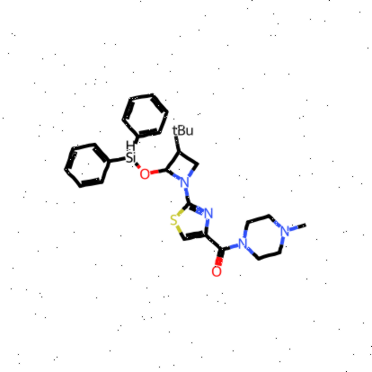 CN1CCN(C(=O)c2csc(N3CC(C(C)(C)C)C3O[SiH](c3ccccc3)c3ccccc3)n2)CC1